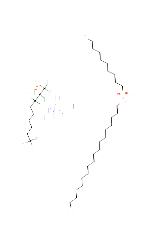 CCCCCCCCCCCCCCCCCCOS(=O)(=O)CCCCCCCCCF.CNC.CNC.O=S(=O)(O)C(F)(F)C(F)(F)C(F)(F)CCCCCC(F)(F)F